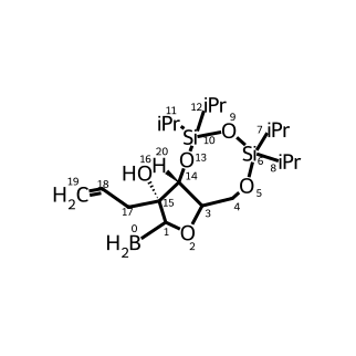 BC1OC2CO[Si](C(C)C)(C(C)C)O[Si](C(C)C)(C(C)C)O[C@H]2[C@]1(O)CC=C